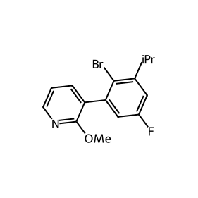 COc1ncccc1-c1cc(F)cc(C(C)C)c1Br